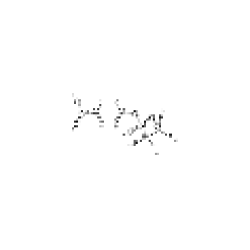 O=[N+]([O-])c1ccc(OS(=O)(=O)C(F)(F)C(F)F)cc1